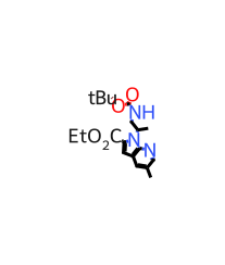 CCOC(=O)c1cc2cc(C)cnc2n1C(C)CNC(=O)OC(C)(C)C